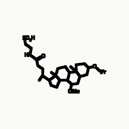 COC1CC2CC(OC(C)C)CCC2(C)C2CCC3(C)C(C(C)CCC(=O)NCCS(=O)(=O)O)CCC3C12